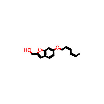 C/C=C\C=C/COc1ccc2cc(CO)oc2c1